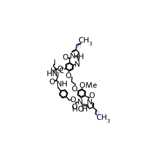 C/C=C/C1=CN2C(=O)c3cc(C)c(OCCCOc4cc5c(cc4OC)C(=O)N4C=C(/C=C/C)C[C@H]4[C@H](O)N5C(=O)OCc4ccc(CNC(=O)CNC(=O)CI)cc4)cc3N=C[C@@H]2C1